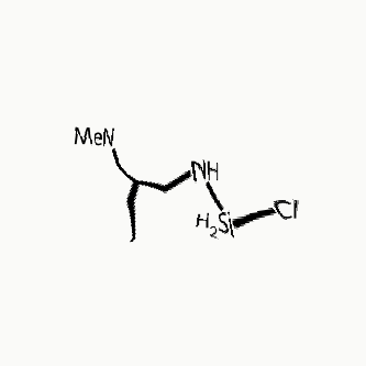 CNC(C)N[SiH2]Cl